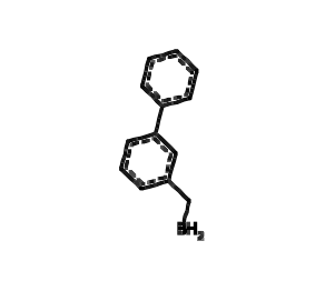 BCc1cccc(-c2ccccc2)c1